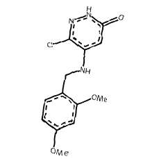 COc1ccc(CNc2cc(=O)[nH]nc2Cl)c(OC)c1